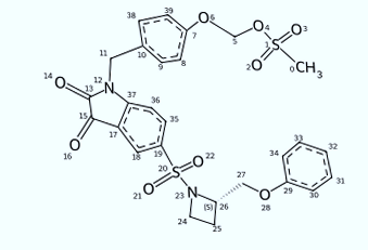 CS(=O)(=O)OCOc1ccc(CN2C(=O)C(=O)c3cc(S(=O)(=O)N4CC[C@H]4COc4ccccc4)ccc32)cc1